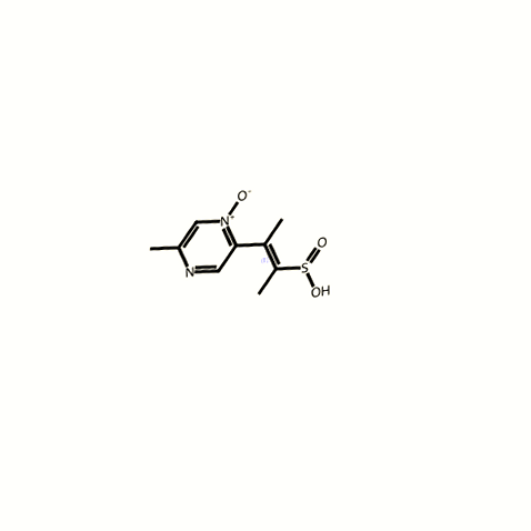 C/C(=C(/C)S(=O)O)c1cnc(C)c[n+]1[O-]